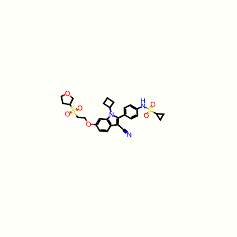 N#Cc1c(-c2ccc(NS(=O)(=O)C3CC3)cc2)n(C2CCC2)c2cc(OCCS(=O)(=O)C3CCOC3)ccc12